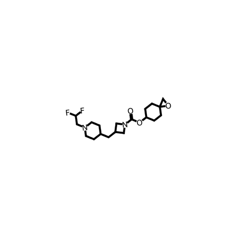 O=C(OC1CCC2(CC1)CO2)N1CC(CC2CCN(CC(F)F)CC2)C1